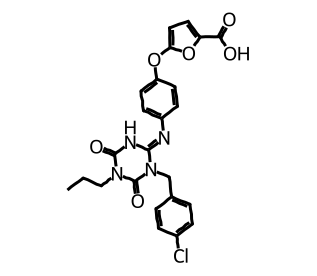 CCCn1c(=O)[nH]/c(=N\c2ccc(Oc3ccc(C(=O)O)o3)cc2)n(Cc2ccc(Cl)cc2)c1=O